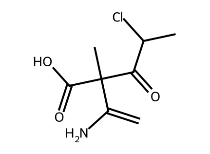 C=C(N)C(C)(C(=O)O)C(=O)C(C)Cl